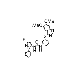 CCc1cc(NC(=O)Nc2cccc(Sc3ncnc4cc(OC)c(OC)cc34)c2)n(-c2ccccc2)n1